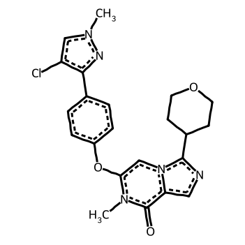 Cn1cc(Cl)c(-c2ccc(Oc3cn4c(C5CCOCC5)ncc4c(=O)n3C)cc2)n1